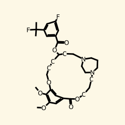 COc1cc2cc(c1OC)OCCCC(OC(=O)c1cc(F)cc(C(C)(C)F)c1)CCN1CCCN(CCCOC2=O)CC1